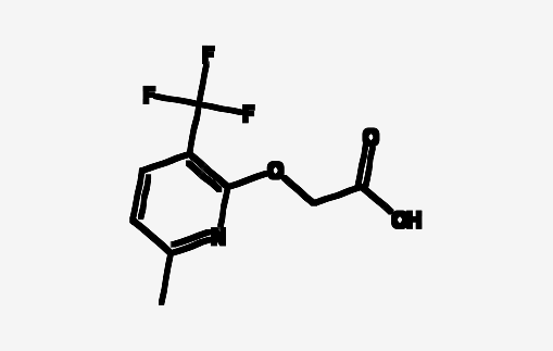 Cc1ccc(C(F)(F)F)c(OCC(=O)O)n1